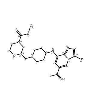 CC(=N)c1cc(NC2CCN(C[C@@H]3CN(C(=O)OC(C)(C)C)CCO3)CC2)c2ncc(C(C)C)n2c1